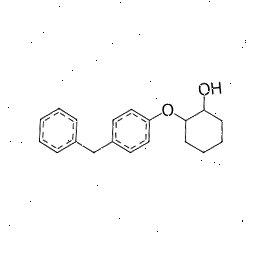 OC1CCCCC1Oc1ccc(Cc2ccccc2)cc1